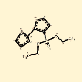 CCOP(=O)(OCC)c1ccsc1-c1cccs1